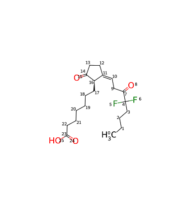 CCCCC(F)(F)C(=O)C/C=C1/CCC(=O)[C@@H]1CCCCCCC(=O)O